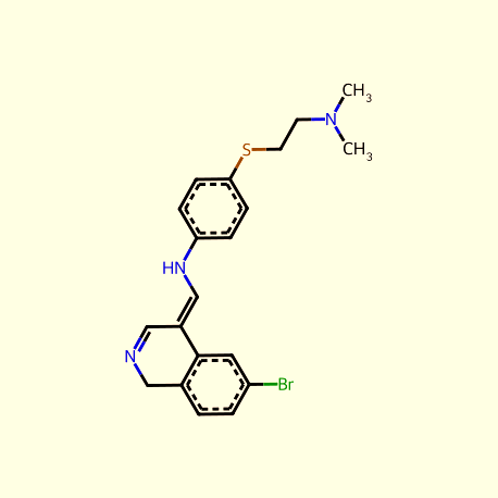 CN(C)CCSc1ccc(NC=C2C=NCc3ccc(Br)cc32)cc1